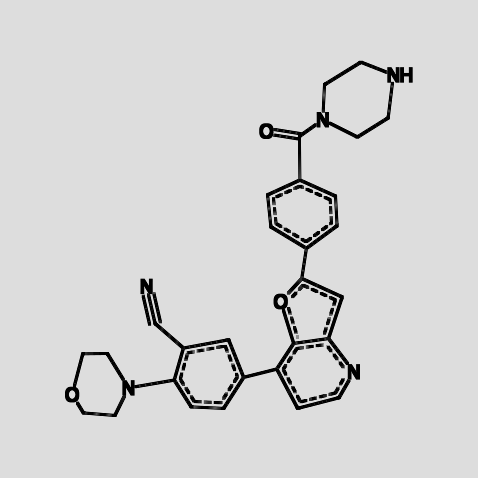 N#Cc1cc(-c2ccnc3cc(-c4ccc(C(=O)N5CCNCC5)cc4)oc23)ccc1N1CCOCC1